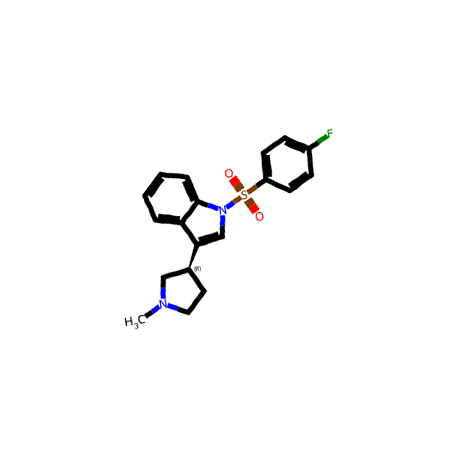 CN1CC[C@H](c2cn(S(=O)(=O)c3ccc(F)cc3)c3ccccc23)C1